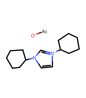 CC(=O)[O-].c1c[n+](C2CCCCC2)cn1C1CCCCC1